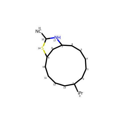 CC(C)C1CCCCCC2CC(CCCC1)SC(C#N)N2